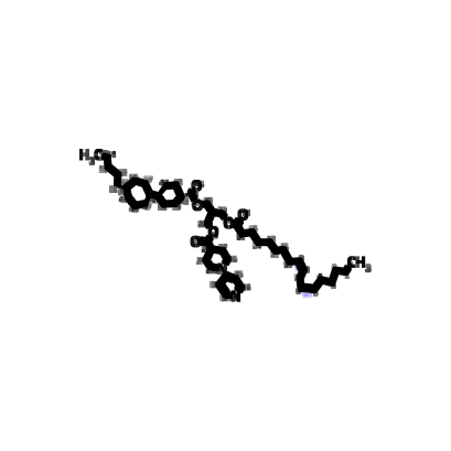 CCCCC/C=C\C/C=C\CCCCCCCC(=O)OCC(COC(=O)C1CCN(c2ccncc2)CC1)COC(=O)[C@H]1CC[C@H]([C@H]2CCC[C@H](CCCCC)CC2)CC1